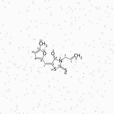 C=CCN1C(=O)/C(=C\c2ccc(C)o2)SC1=S